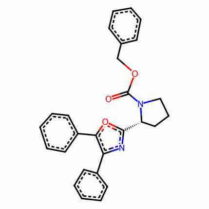 O=C(OCc1ccccc1)N1CCC[C@@H]1c1nc(-c2ccccc2)c(-c2ccccc2)o1